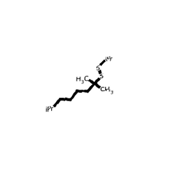 CC(C)CCCCC(C)(C)SSC(C)C